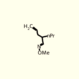 C=CCC(/C=N/OC)CCC